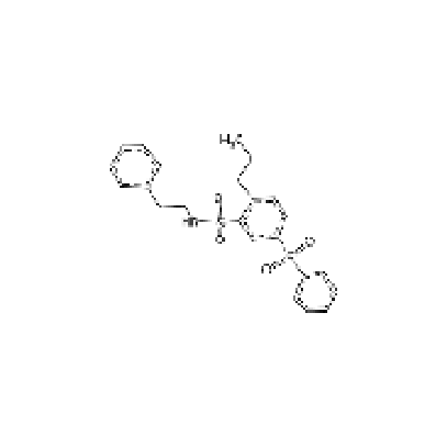 CCCc1ccc(S(=O)(=O)c2ccccc2)cc1S(=O)(=O)NCCc1ccccc1